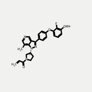 C=CC(=O)N1CC[C@@H](n2nc(-c3ccc(Oc4cccc(OC)c4F)cc3)c3cncc(C)c32)C1